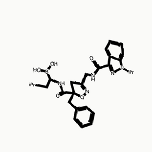 CC(C)CC(NC(=O)C1(Cc2ccccc2)CC(CNC(=O)c2nn(C(C)C)c3ccccc23)=NO1)B(O)O